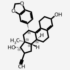 C#CC1C[C@H]2[C@@H]3CCC4=CC(O)CCC4=C3[C@@H](c3ccc4c(c3)OCO4)C[C@]2(C)[C@H]1O